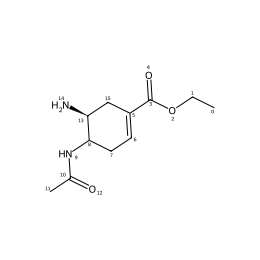 CCOC(=O)C1=CCC(NC(C)=O)[C@@H](N)C1